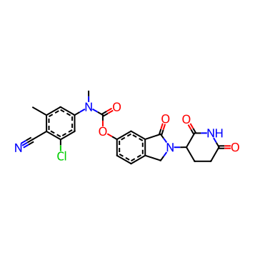 Cc1cc(N(C)C(=O)Oc2ccc3c(c2)C(=O)N(C2CCC(=O)NC2=O)C3)cc(Cl)c1C#N